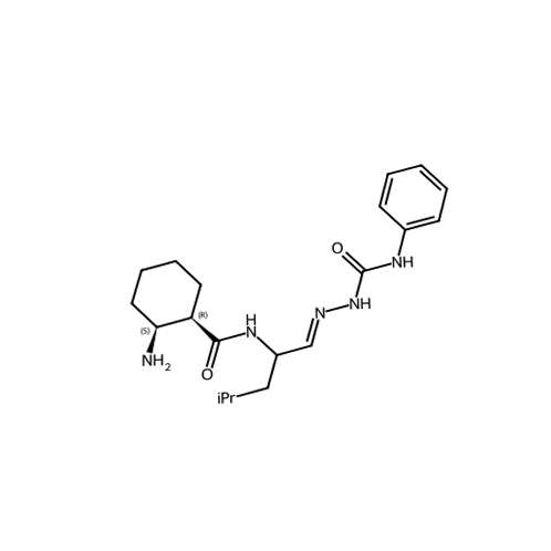 CC(C)CC(C=NNC(=O)Nc1ccccc1)NC(=O)[C@@H]1CCCC[C@@H]1N